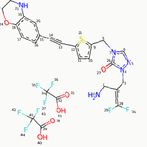 NCC(Cn1ncn(Cc2ccc(C#Cc3ccc4c(c3)NCCO4)s2)c1=O)=C(F)F.O=C(O)C(F)(F)F.O=C(O)C(F)(F)F